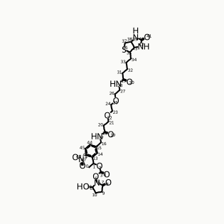 CC(OC(=O)ON1C(=O)CCC1O)c1cc(CNC(=O)CCOCCOCCNC(=O)CCCCC2SCC3NC(=O)NC32)ccc1[N+](=O)[O-]